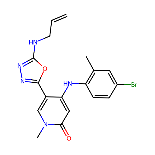 C=CCNc1nnc(-c2cn(C)c(=O)cc2Nc2ccc(Br)cc2C)o1